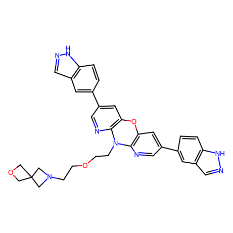 c1cc2[nH]ncc2cc1-c1cnc2c(c1)Oc1cc(-c3ccc4[nH]ncc4c3)cnc1N2CCOCCN1CC2(COC2)C1